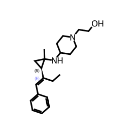 CC/C(=C\c1ccccc1)[C@H]1CC1(C)NC1CCN(CCO)CC1